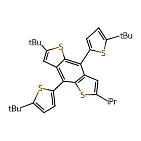 CC(C)c1cc2c(-c3ccc(C(C)(C)C)s3)c3sc(C(C)(C)C)cc3c(-c3ccc(C(C)(C)C)s3)c2s1